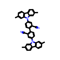 Cc1ccc2c3ccc(C)cc3n(-c3ccc(-c4ccc(-n5c6cc(C)ccc6c6ccc(C)cc65)cc4C#N)c(C#N)c3)c2c1